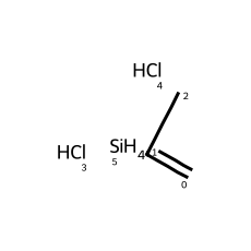 C=CC.Cl.Cl.[SiH4]